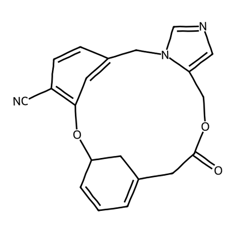 N#Cc1ccc2cc1OC1C=CC=C(CC(=O)OCc3cncn3C2)C1